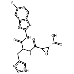 O=C(Nc1nc2ccc(F)cc2s1)C(Cc1c[nH]cn1)NC(=O)[C@@H]1O[C@H]1C(=O)O